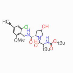 C#Cc1cc(Cl)c(CNC(=O)[C@@H]2C[C@@H](O)CN2C(O)[C@@H](NC(=O)OC(C)(C)C)C(C)(C)C)c(OC)c1